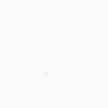 Br.CC(C)N1CCC(c2csc3ccc([N+](=O)[O-])cc23)CC1.CN1CCC(c2csc3ccc(F)cc23)CC1.O=C(O)/C=C\C(=O)O